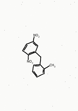 Cc1ccccc1Cc1cc([N+](=O)[O-])ccc1[N+](=O)[O-]